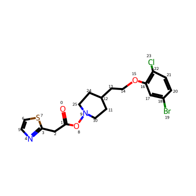 O=C(Cc1nccs1)ON1CCC(CCOc2cc(Br)ccc2Cl)CC1